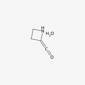 O.O=C=C1CCN1